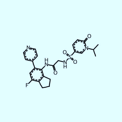 CC(C)n1cc(S(=O)(=O)NCC(=O)Nc2c(-c3ccncc3)cc(F)c3c2CCC3)ccc1=O